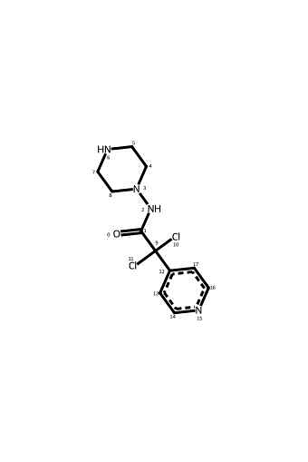 O=C(NN1CCNCC1)C(Cl)(Cl)c1ccncc1